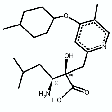 Cc1cnc(C[C@](O)(C(=O)O)[C@@H](N)CC(C)C)cc1OC1CCC(C)CC1